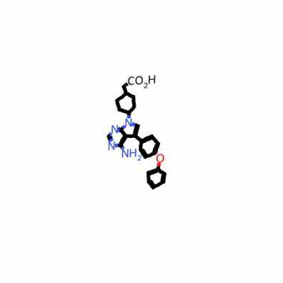 Nc1ncnc2c1c(-c1ccc(Oc3ccccc3)cc1)cn2C1CCC(CC(=O)O)CC1